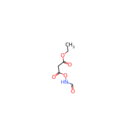 CCOC(=O)CC(=O)ONC=O